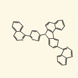 c1ccc2c(-c3ccc4c(c3)c3c5ccccc5ccc3n4-c3ccc(-c4nccc5ccccc45)nc3)nccc2c1